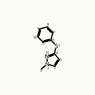 Cn1ccc(Sc2[c]cccc2)n1